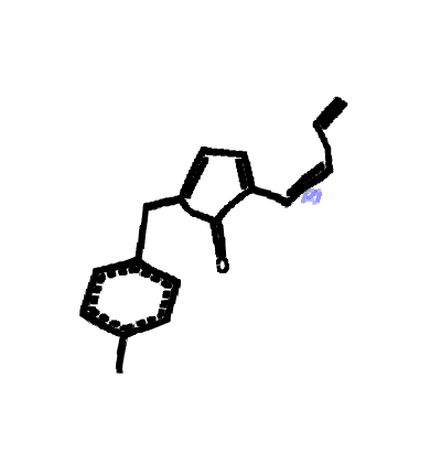 C=C/C=C\C1=CC=C(Cc2ccc(C)cc2)C1=O